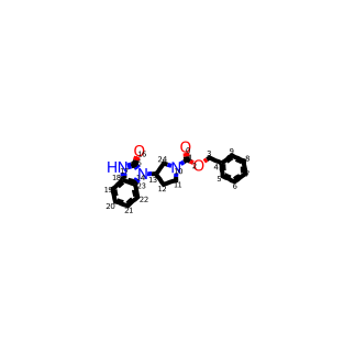 O=C(OCc1ccccc1)N1CCC(n2c(=O)[nH]c3ccccc32)C1